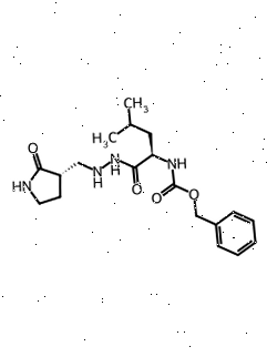 CC(C)C[C@@H](NC(=O)OCc1ccccc1)C(=O)NNC[C@@H]1CCNC1=O